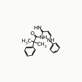 CC(C)(C(=O)NC(=N)/C=C\Nc1ccccc1)c1ccccc1